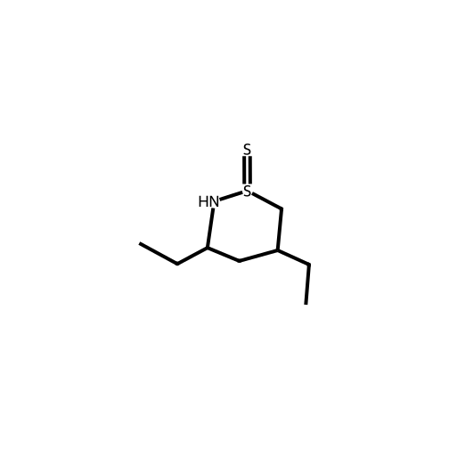 CCC1CC(CC)NS(=S)C1